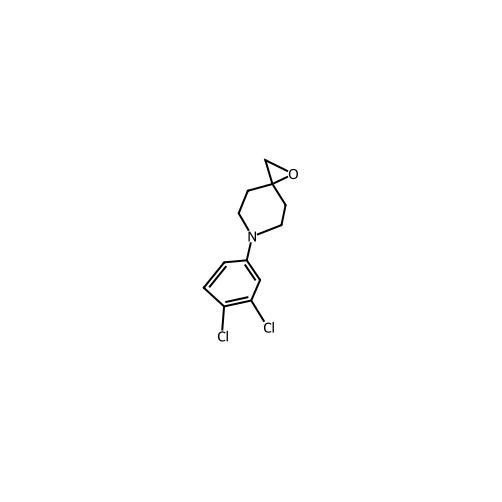 Clc1ccc(N2CCC3(CC2)CO3)cc1Cl